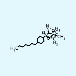 CCCCCCCC1CCC(S(=O)(=O)C(=[N+]=[N-])S(=O)(=O)C(C)(C)C)CC1